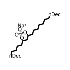 CCCCCCCCCCCCCCCCCC(CCCCCCCCCCCCCCCC)OS(=O)(=O)[O-].[Na+]